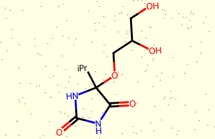 CC(C)C1(OCC(O)CO)NC(=O)NC1=O